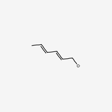 CC=CC=CC[O]